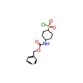 O=C(NC1CCC(S(=O)(=O)Cl)CC1)OCc1ccccc1